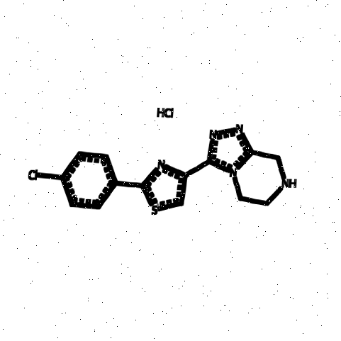 Cl.Clc1ccc(-c2nc(-c3nnc4n3CCNC4)cs2)cc1